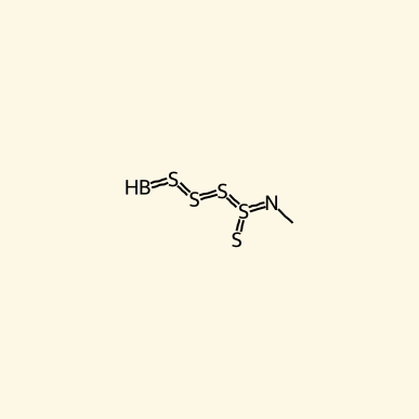 B=S=S=S=S(=S)=NC